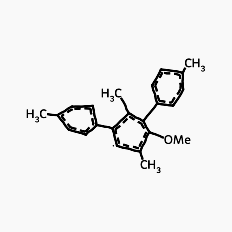 COc1c(C)[c]c(-c2ccc(C)cc2)c(C)c1-c1ccc(C)cc1